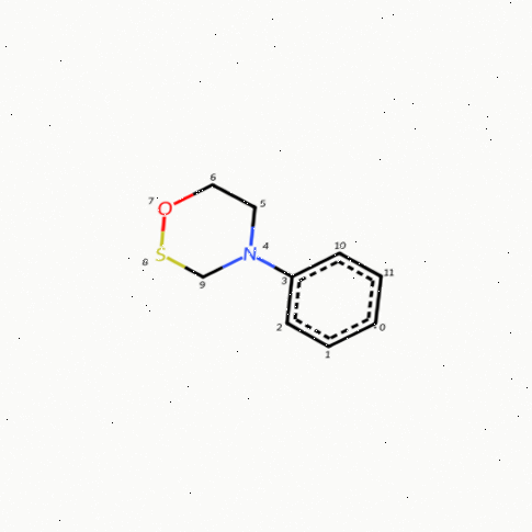 [c]1ccc(N2CCOSC2)cc1